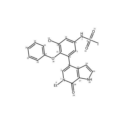 CCn1cc(-c2cc(NS(C)(=O)=O)cc(Cl)c2Oc2ccccc2)c2cc[nH]c2c1=O